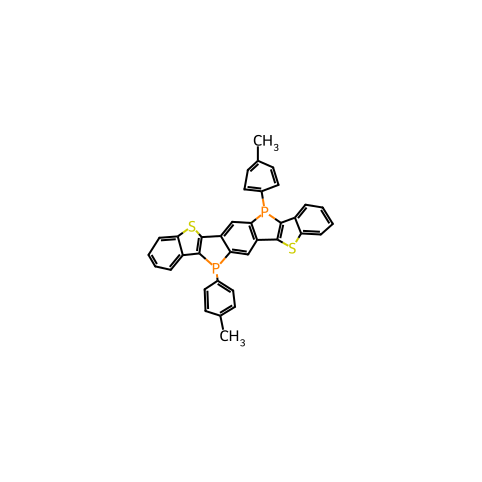 Cc1ccc(-p2c3cc4c5sc6ccccc6c5p(-c5ccc(C)cc5)c4cc3c3sc4ccccc4c32)cc1